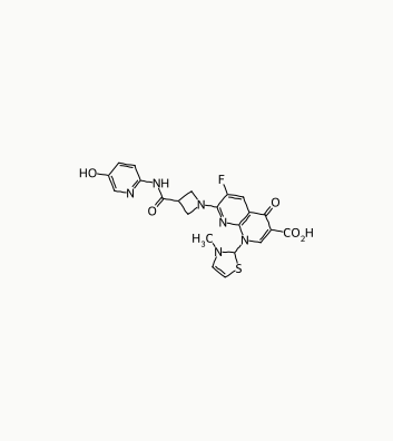 CN1C=CSC1n1cc(C(=O)O)c(=O)c2cc(F)c(N3CC(C(=O)Nc4ccc(O)cn4)C3)nc21